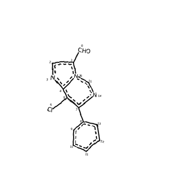 O=Cc1cnc2c(Cl)c(-c3ccccc3)ncn12